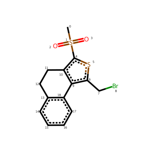 CS(=O)(=O)c1sc(CBr)c2c1CCc1ccccc1-2